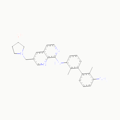 Cc1c(N)cccc1-c1cccc(Nc2nccc3cc(CN4CC[C@H](O)C4)cnc23)c1C